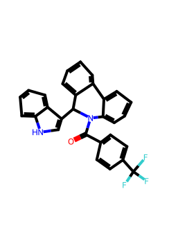 O=C(c1ccc(C(F)(F)F)cc1)N1c2ccccc2-c2ccccc2C1c1c[nH]c2ccccc12